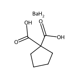 O=C(O)C1(C(=O)O)CCCC1.[BaH2]